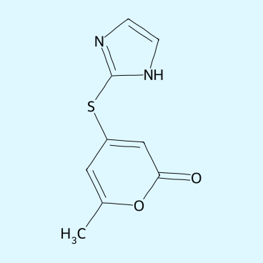 Cc1cc(Sc2ncc[nH]2)cc(=O)o1